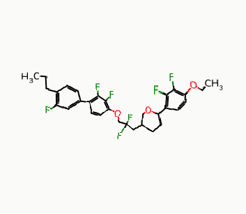 CCCc1ccc(-c2ccc(OCC(F)(F)CC3CCC(c4ccc(OCC)c(F)c4F)OC3)c(F)c2F)cc1F